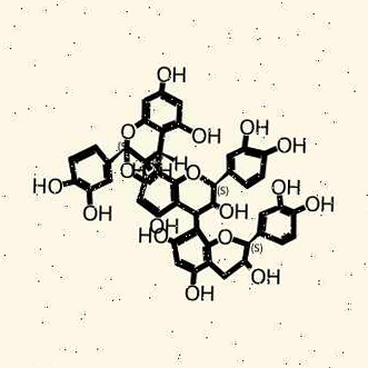 Oc1cc(O)c2c(c1)O[C@@]1(c3ccc(O)c(O)c3)Oc3cc(O)c4c(c3[C@@H]2[C@H]1O)O[C@@H](c1ccc(O)c(O)c1)C(O)C4c1c(O)cc(O)c2c1O[C@@H](c1ccc(O)c(O)c1)C(O)C2